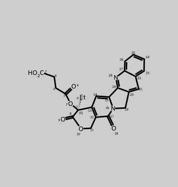 CC[C@@]1(OC(=O)CCC(=O)O)C(=O)OCc2c1cc1n(c2=O)Cc2cc3ccccc3nc2-1